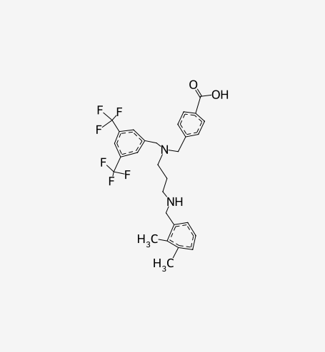 Cc1cccc(CNCCCN(Cc2ccc(C(=O)O)cc2)Cc2cc(C(F)(F)F)cc(C(F)(F)F)c2)c1C